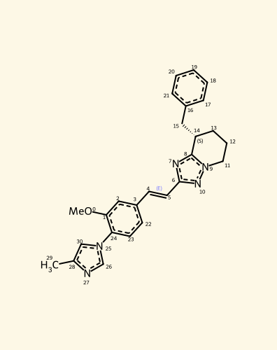 COc1cc(/C=C/c2nc3n(n2)CCC[C@H]3Cc2ccccc2)ccc1-n1cnc(C)c1